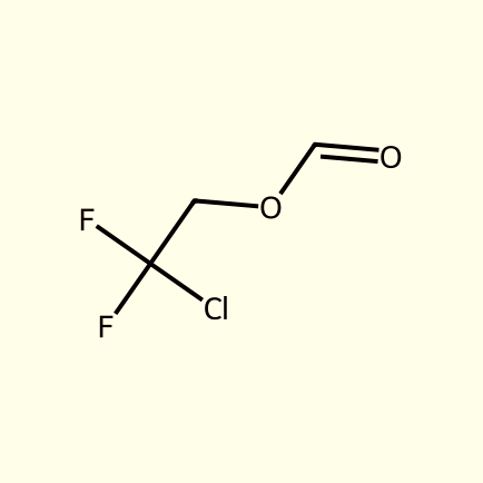 O=COCC(F)(F)Cl